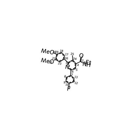 CCNC(=O)c1cc(-c2ccc(F)cc2)nc(-c2ccc(OC)c(OC)c2)c1C